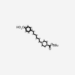 CC(C)(C)OC(=O)N1CCN(CCCCCCc2ccc(C(=O)O)cc2)CC1